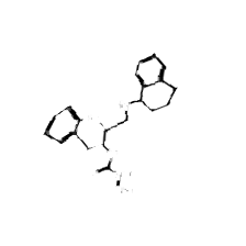 CC(C)(C)NC(=O)O[C@@H](Cc1ccccc1)[C@@H](O)CNC1CCCc2ccccc21